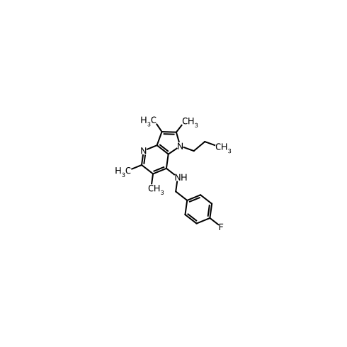 CCCn1c(C)c(C)c2nc(C)c(C)c(NCc3ccc(F)cc3)c21